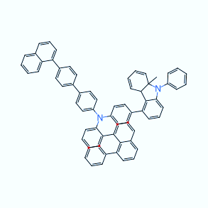 CC12C=CC=CC1c1c(-c3ccc(N(c4ccc(-c5ccc(-c6cccc7ccccc67)cc5)cc4)c4ccccc4-c4cccc5cccc(-c6ccccc6)c45)cc3)cccc1N2c1ccccc1